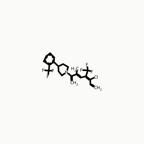 C=C/C(Cl)=C(\C=C(/C)C(=C)N1CCC(c2ccccc2C(F)(F)F)CC1)C(F)(F)F